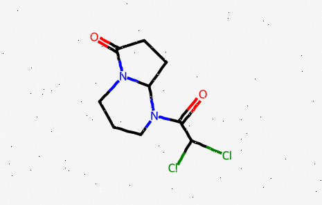 O=C1CCC2N1CCCN2C(=O)C(Cl)Cl